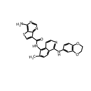 Cc1ccc2c(Nc3ccc4c(c3)OCCO4)nccc2c1NC(=O)c1csc2c(N)ncnc12